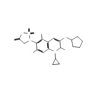 O=C1CN(c2c(O)cc3c(c2F)C=C(NC2CCCC2)C(O)N3C2CC2)S(=O)(=O)N1